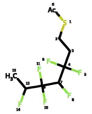 CC(=O)SCCC(F)(F)C(F)C(F)(F)C(C)F